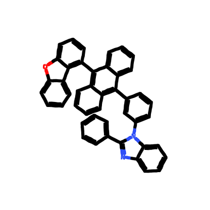 c1ccc(-c2nc3ccccc3n2-c2cccc(-c3c4ccccc4c(-c4cccc5oc6ccccc6c45)c4ccccc34)c2)cc1